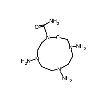 NC(=O)N1CCN(N)CCN(N)CCN(N)CC1